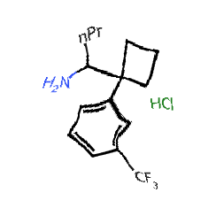 CCCC(N)C1(c2cccc(C(F)(F)F)c2)CCC1.Cl